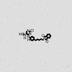 O=C1c2ccccc2C(=O)N1CCCCCc1ccc(Nc2nc(Cl)ncc2NO)cc1